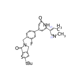 C/C=C(\C=N/C)c1cc(-c2ccc(CN3Cc4cc(C(C)(C)C)sc4C3=O)c(F)c2)cc(=O)[nH]1